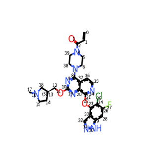 C=CC(=O)N1CCN(c2nc(OC[C@H]3CCN(C)C3)nc3c(Oc4c(Cl)c(F)cc5[nH]ncc45)nccc23)CC1